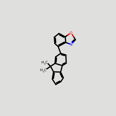 CC1(C)c2ccccc2-c2ccc(-c3cccc4ocnc34)cc21